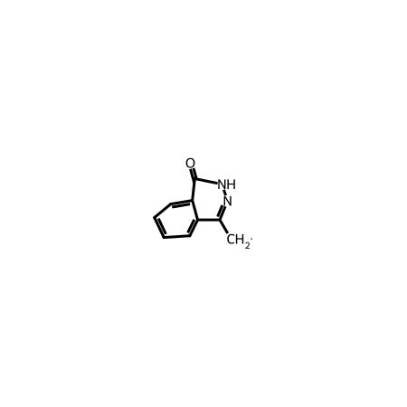 [CH2]c1n[nH]c(=O)c2ccccc12